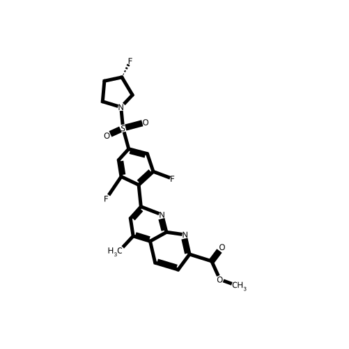 COC(=O)c1ccc2c(C)cc(-c3c(F)cc(S(=O)(=O)N4CC[C@H](F)C4)cc3F)nc2n1